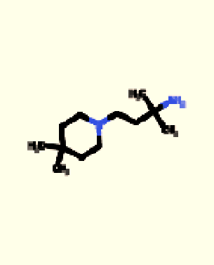 CC(C)(N)CCN1CCC(C)(C)CC1